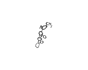 Cc1ccc(-c2ccn(-c3ccc4c5c(oc4c3)CCCCC5)c(=O)c2)nc1